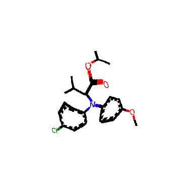 COc1ccc(N(c2ccc(Cl)cc2)C(C(=O)OC(C)C)C(C)C)cc1